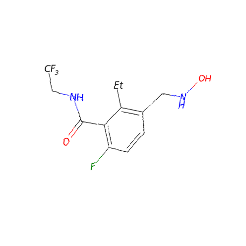 CCc1c(CNO)ccc(F)c1C(=O)NCC(F)(F)F